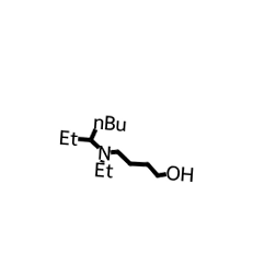 CCCCC(CC)N(CC)CCCCO